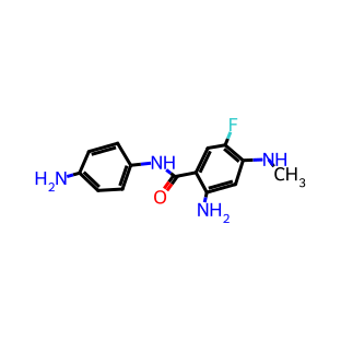 CNc1cc(N)c(C(=O)Nc2ccc(N)cc2)cc1F